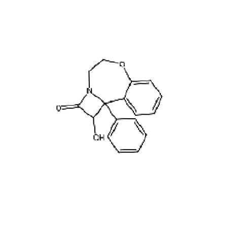 O=C1C(O)C2(c3ccccc3)c3ccccc3OCCN12